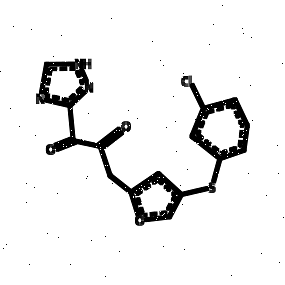 O=C(Cc1cc(Sc2cccc(Cl)c2)co1)C(=O)c1nc[nH]n1